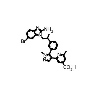 Cc1cc(C(=O)O)cc(-c2cnn(C)c2-c2cccc(C(C)Cn3c(N)nc4ccc(Br)cc43)c2)n1